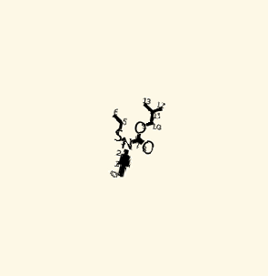 CC#CN(SCC)C(=O)OCC(C)C